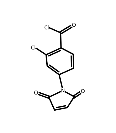 O=C(Cl)c1ccc(N2C(=O)C=CC2=O)cc1Cl